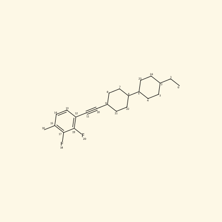 CCC1CCC(C2CCC(C#Cc3ccc(C)c(F)c3F)CC2)CC1